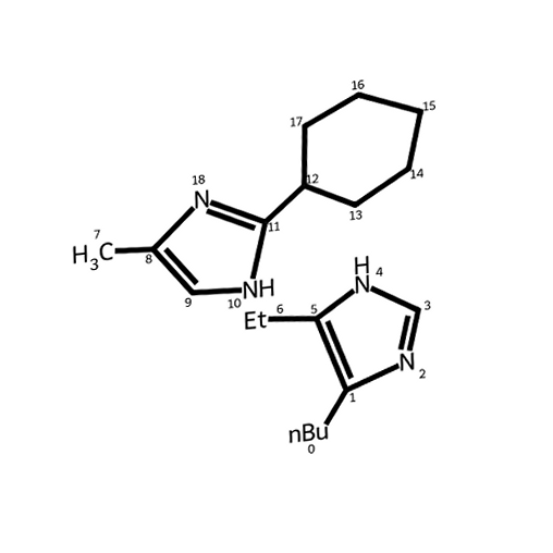 CCCCc1nc[nH]c1CC.Cc1c[nH]c(C2CCCCC2)n1